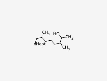 CCCCCCCC[C@H](C)CCC[C@H](C)[C@H](C)O